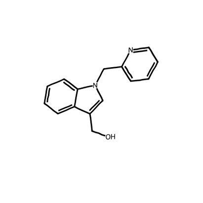 OCc1cn(Cc2ccccn2)c2ccccc12